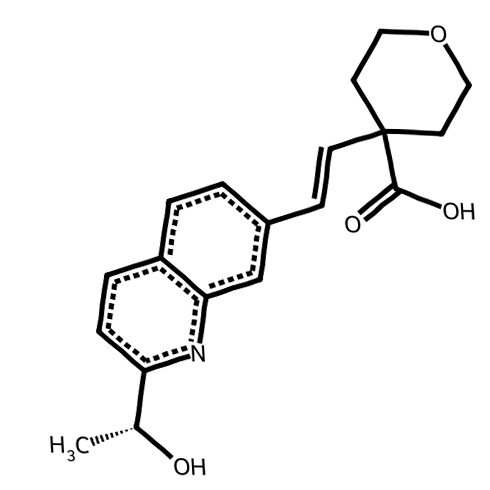 C[C@@H](O)c1ccc2ccc(/C=C/C3(C(=O)O)CCOCC3)cc2n1